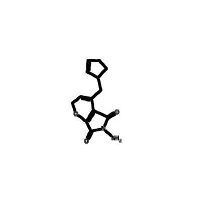 NN1C(=O)C2=C(C1=O)C(CC1C=CCC1)=CCO2